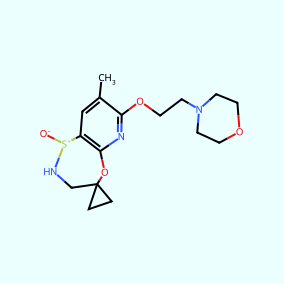 Cc1cc2c(nc1OCCN1CCOCC1)OC1(CC1)CN[S+]2[O-]